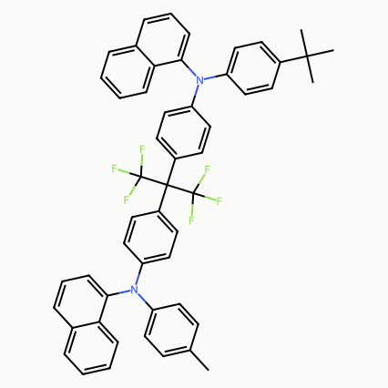 Cc1ccc(N(c2ccc(C(c3ccc(N(c4ccc(C(C)(C)C)cc4)c4cccc5ccccc45)cc3)(C(F)(F)F)C(F)(F)F)cc2)c2cccc3ccccc23)cc1